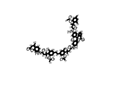 CC(=O)Oc1cc(C)cc(C)c1C(C)(C)CC(=O)Nc1ccc2c(c1)Oc1cc(NC(=O)CC(C)(C)c3c(C)cc(CCc4cc(C)c(C(C)(C)CC(=O)Nc5ccc6c(C)cc(=O)oc6c5)c(OC(C)=O)c4)cc3OC(C)=O)ccc1C21OC(=O)c2ccccc21